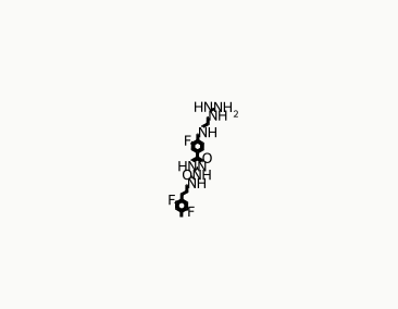 Cc1cc(F)c(CCCNC(=O)Nc2nc(=O)c(-c3ccc(CNCCCNC(=N)N)c(F)c3)c[nH]2)cc1F